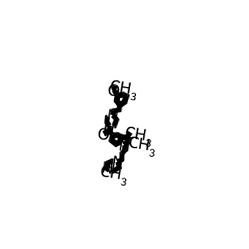 COc1cccc(CCN2CCN(C(=O)c3ccc4c(c3)c(C)c(C)n4CCCN3CCN(C)CC3)CC2)c1